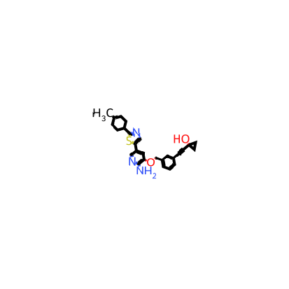 CC1CCC(c2ncc(-c3cnc(N)c(OCc4cccc(C#CC5(O)CC5)c4)c3)s2)CC1